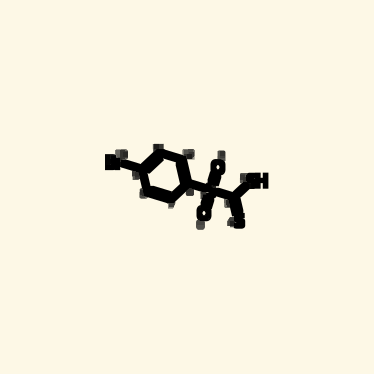 O=S(=O)(C(=S)S)c1ccc(Br)cc1